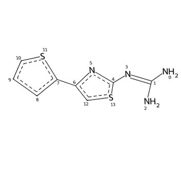 NC(N)=Nc1nc(-c2cccs2)cs1